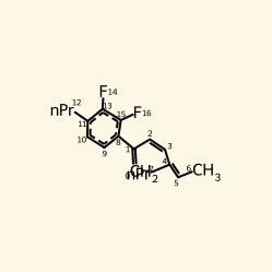 C=C(/C=C\C(=C/C)CCC)c1ccc(CCC)c(F)c1F